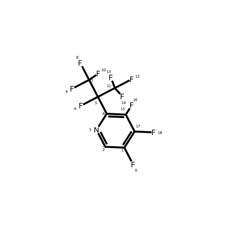 Fc1[c]nc(C(F)(C(F)(F)F)C(F)(F)F)c(F)c1F